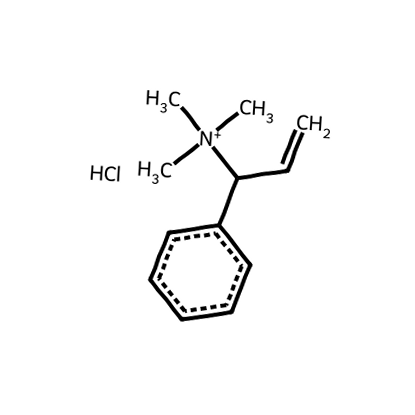 C=CC(c1ccccc1)[N+](C)(C)C.Cl